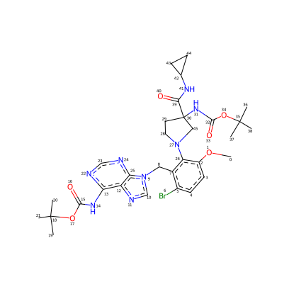 COc1ccc(Br)c(Cn2cnc3c(NC(=O)OC(C)(C)C)ncnc32)c1N1CCC(NC(=O)OC(C)(C)C)(C(=O)NC2CC2)C1